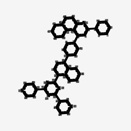 c1ccc(-c2cc(-c3ccc(-c4ccc(-c5nc(-c6ccncc6)nc(-c6cccnc6)n5)c5ccccc45)cc3)c3c(ccc4ccccc43)n2)cc1